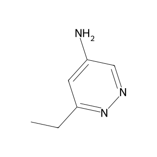 CCc1cc(N)cnn1